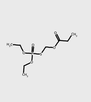 CCOP(=O)(OCC)SCOC(=O)CC